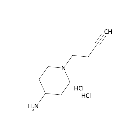 C#CCCN1CCC(N)CC1.Cl.Cl